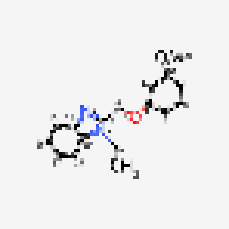 C=Cn1c(COc2cccc(OC)c2)nc2ccccc21